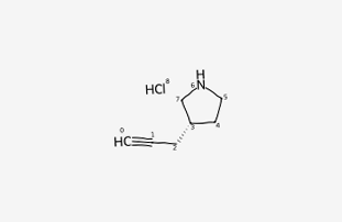 C#CC[C@H]1CCNC1.Cl